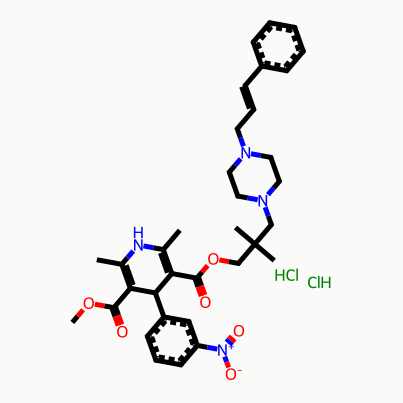 COC(=O)C1=C(C)NC(C)=C(C(=O)OCC(C)(C)CN2CCN(CC=Cc3ccccc3)CC2)C1c1cccc([N+](=O)[O-])c1.Cl.Cl